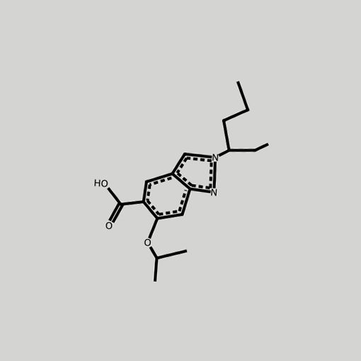 CCCC(CC)n1cc2cc(C(=O)O)c(OC(C)C)cc2n1